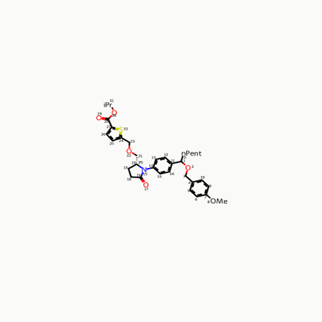 CCCCCC(OCc1ccc(OC)cc1)c1ccc(N2C(=O)CC[C@@H]2COCc2ccc(C(=O)OC(C)C)s2)cc1